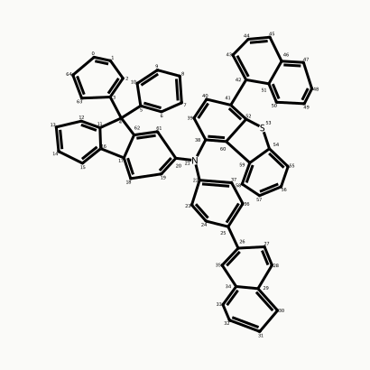 c1ccc(C2(c3ccccc3)c3ccccc3-c3ccc(N(c4ccc(-c5ccc6ccccc6c5)cc4)c4ccc(-c5cccc6ccccc56)c5sc6ccccc6c45)cc32)cc1